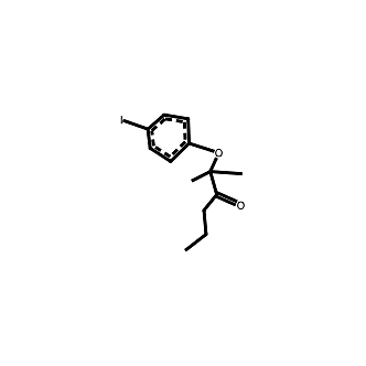 CCCC(=O)C(C)(C)Oc1ccc(I)cc1